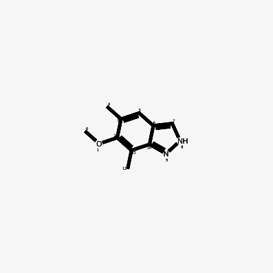 COc1c(C)cc2c[nH]nc2c1C